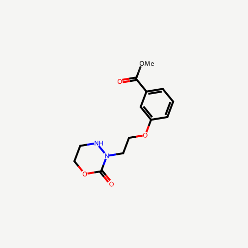 COC(=O)c1cccc(OCCN2NCCOC2=O)c1